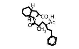 CC(=O)[C@H](CCc1ccccc1)C[C@@H](C)C(=O)N1[C@H](C(=O)O)C[C@H]2CCCC[C@@H]21